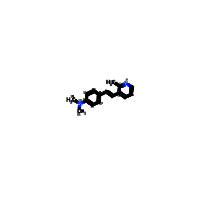 Cc1ncccc1C=Cc1ccc(N(C)C)cc1